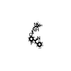 Cn1cnc(CNCCOc2ccc(F)c(C(C#N)Cc3ccccc3)c2)c1